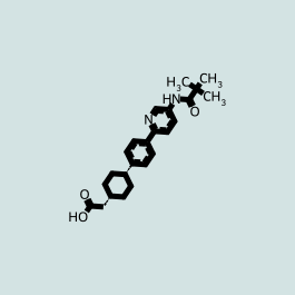 CC(C)(C)C(=O)Nc1ccc(-c2ccc([C@H]3CC[C@@H](CC(=O)O)CC3)cc2)nc1